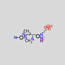 CCN1C(=CC=CC(C#N)Cc2ccc3c(c2)N(CCCCS(=O)(=O)O)C[NH+]3[O-])N(CC)c2cc(C#N)ccc21